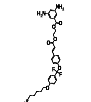 N#CCCCCCOc1ccc(C(F)(F)Oc2ccc(C=CC(=O)OCCOC(=O)c3cc(N)cc(N)c3)cc2)cc1